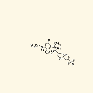 CCNc1cc(F)c([C@@H](C)NC(=O)c2cnc3cc(C(F)(F)F)ccc3c2)cc1C